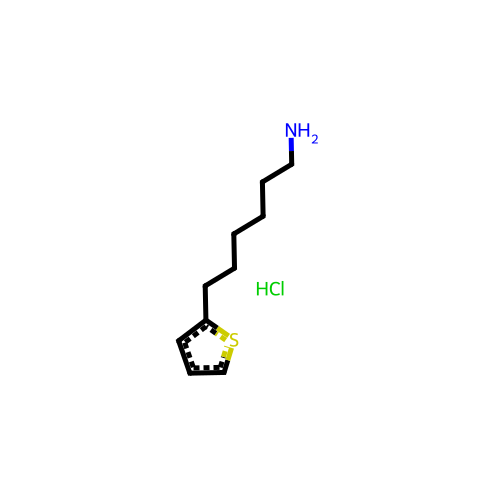 Cl.NCCCCCCc1cccs1